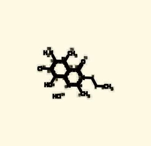 CCCn1c(C)nc2c(O)c(Cl)c(N)c(C)c2c1=O.Cl